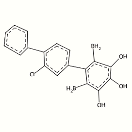 Bc1c(O)c(O)c(O)c(B)c1-c1ccc(-c2ccccc2)c(Cl)c1